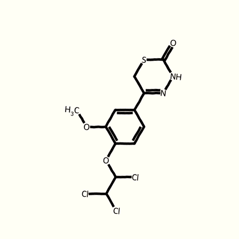 COc1cc(C2=NNC(=O)SC2)ccc1OC(Cl)C(Cl)Cl